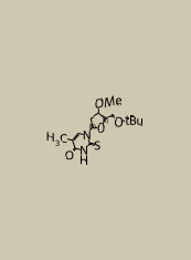 COC1C[C@H](n2cc(C)c(=O)[nH]c2=S)O[C@@H]1COC(C)(C)C